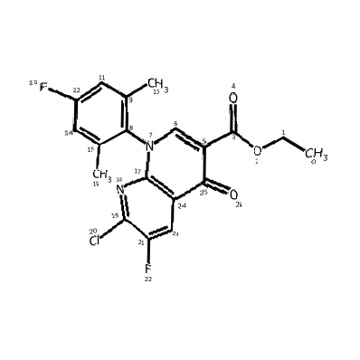 CCOC(=O)c1cn(-c2c(C)cc(F)cc2C)c2nc(Cl)c(F)cc2c1=O